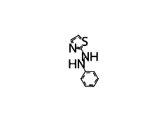 c1ccc(NNc2nccs2)cc1